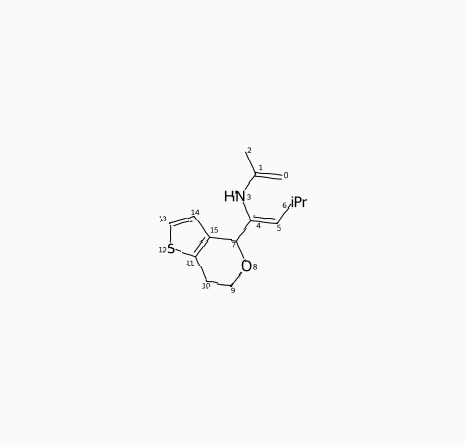 C=C(C)N/C(=C\C(C)C)C1OCCc2sccc21